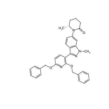 C[C@@H]1C[CH]CC(=O)N1c1ccc2c(-c3ccc(OCc4ccccc4)nc3OCc3ccccc3)nn(C)c2c1